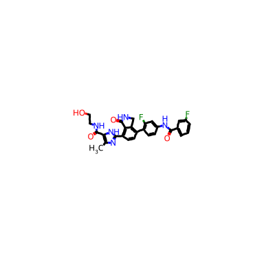 Cc1nc(-c2ccc(-c3ccc(NC(=O)c4cccc(F)c4)cc3F)c3c2C(=O)NC3)[nH]c1C(=O)NCCO